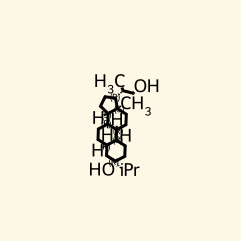 CC(CO)[C@H]1CC[C@H]2[C@@H]3CC[C@@H]4C[C@@](O)(C(C)C)CC[C@@H]4[C@H]3CC[C@]12C